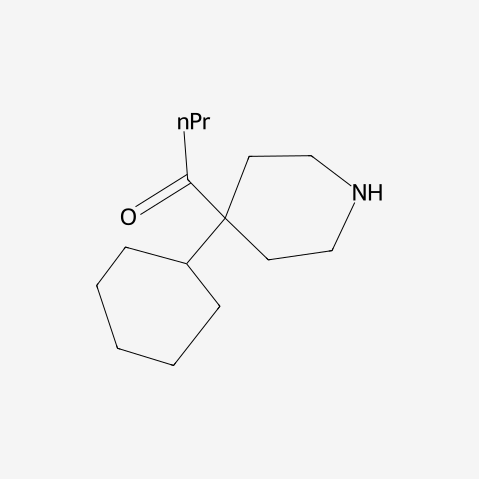 CCCC(=O)C1(C2CCCCC2)CCNCC1